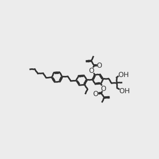 C=C(C)C(=O)Oc1cc(-c2ccc(CCc3ccc(CCCCC)cc3)cc2CC)c(OC(=O)C(=C)C)cc1CCC(C)(CO)CO